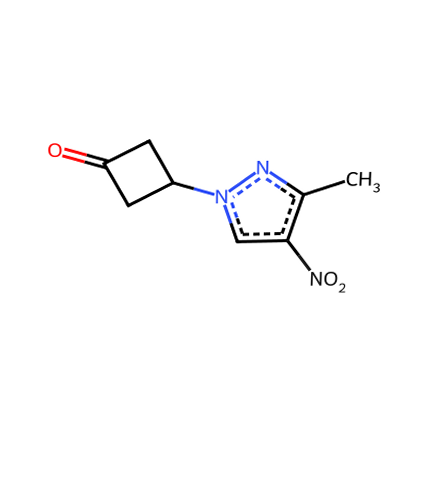 Cc1nn(C2CC(=O)C2)cc1[N+](=O)[O-]